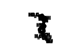 CC(C)(C)[SiH2]OC(C)(C)c1ccc2[nH]c(-c3n[nH]c4cc(C(=O)O)sc34)cc2c1